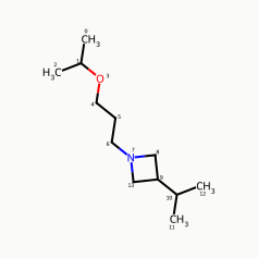 CC(C)OCCCN1CC(C(C)C)C1